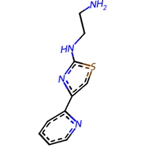 NCCNc1nc(-c2ccccn2)cs1